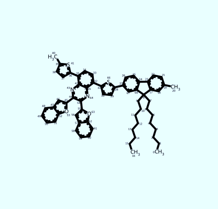 CCCCCCCCC1(CCCCCCCC)c2cc(C)ccc2-c2ccc(-c3ccc(-c4ccc(-c5ccc(C)s5)c5nc(-c6cc7ccccc7o6)c(-c6cc7ccccc7o6)nc45)s3)cc21